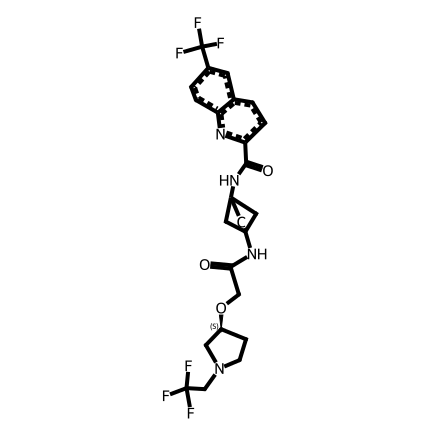 O=C(CO[C@H]1CCN(CC(F)(F)F)C1)NC12CC(NC(=O)c3ccc4cc(C(F)(F)F)ccc4n3)(C1)C2